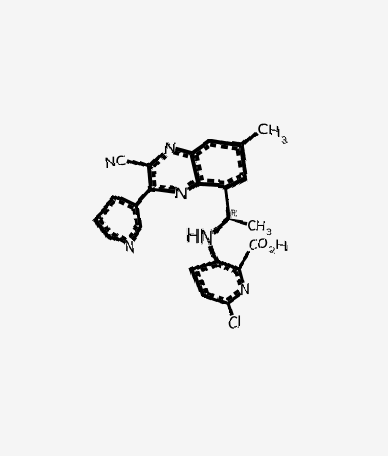 Cc1cc([C@@H](C)Nc2ccc(Cl)nc2C(=O)O)c2nc(-c3cccnc3)c(C#N)nc2c1